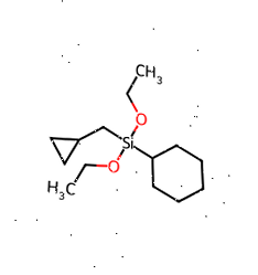 CCO[Si](CC1CC1)(OCC)C1CCCCC1